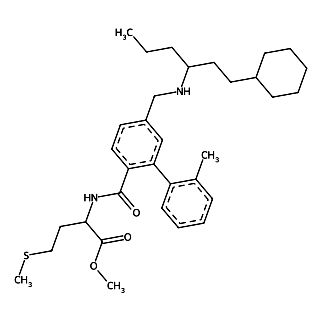 CCCC(CCC1CCCCC1)NCc1ccc(C(=O)NC(CCSC)C(=O)OC)c(-c2ccccc2C)c1